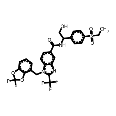 CCS(=O)(=O)c1ccc(C(CO)NC(=O)c2ccc3c(c2)nc(C(F)(F)F)n3Cc2cccc3c2OC(F)(F)O3)cc1